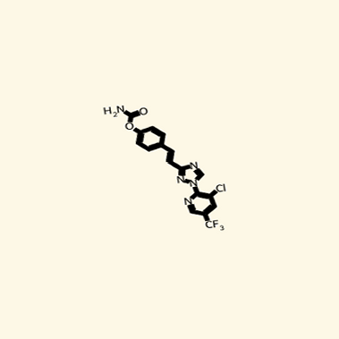 NC(=O)Oc1ccc(/C=C/c2ncn(-c3ncc(C(F)(F)F)cc3Cl)n2)cc1